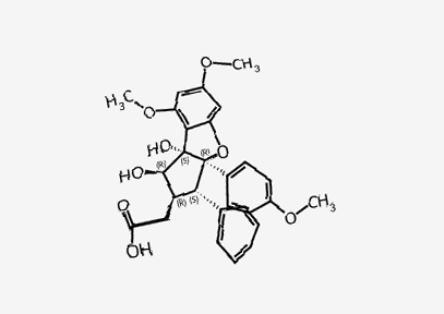 COc1ccc([C@@]23Oc4cc(OC)cc(OC)c4[C@]2(O)[C@H](O)[C@H](CC(=O)O)[C@H]3c2ccccc2)cc1